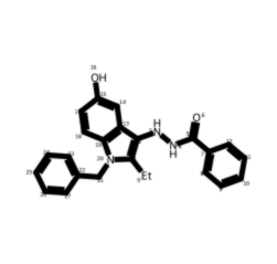 CCc1c(NNC(=O)c2ccccc2)c2cc(O)ccc2n1Cc1ccccc1